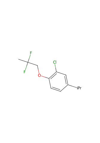 CC(C)c1ccc(OCC(C)(F)F)c(Cl)c1